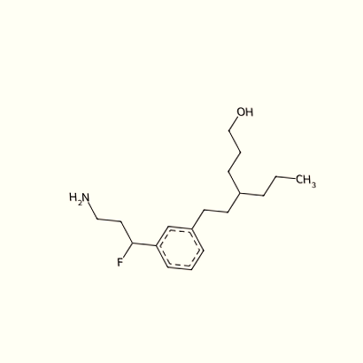 CCCC(CCCO)CCc1cccc(C(F)CCN)c1